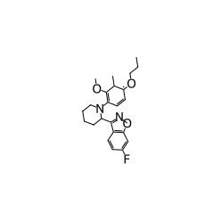 CCCO[C]1C=CC(N2CCCCC2c2noc3cc(F)ccc23)=C(OC)C1C